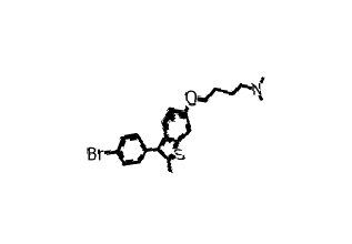 Cc1sc2cc(OCCCCN(C)C)ccc2c1-c1ccc(Br)cc1